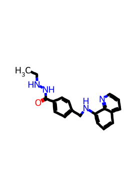 CCNNC(=O)c1ccc(CNc2cccc3cccnc23)cc1